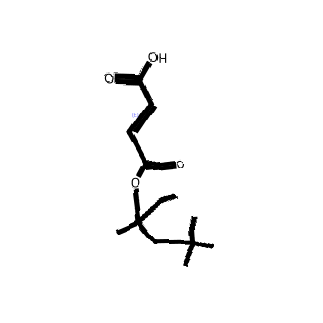 CC(C)(C)CC(C)(C)OC(=O)/C=C/C(=O)O